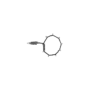 N#CC1=CCCCCCCC1